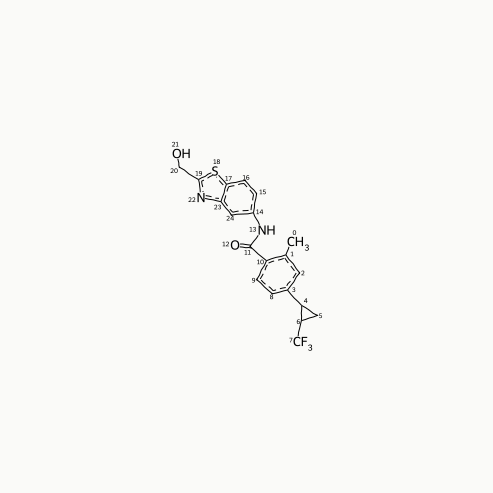 Cc1cc(C2CC2C(F)(F)F)ccc1C(=O)Nc1ccc2sc(CO)nc2c1